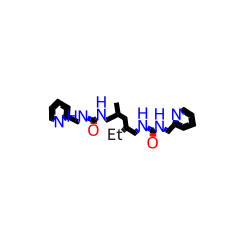 CCC(CNC(=O)NCc1ccccn1)CC(C)CNC(=O)NCc1ccccn1